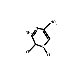 N.O=[N+]([O-])C1=CN(Cl)C(Cl)C=N1